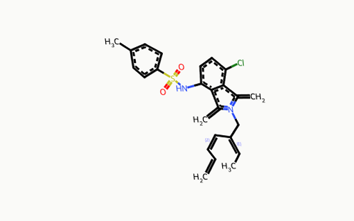 C=C/C=C\C(=C/C)Cn1c(=C)c2c(Cl)ccc(NS(=O)(=O)c3ccc(C)cc3)c2c1=C